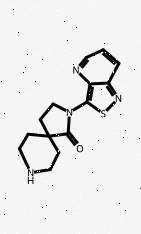 O=C1N(c2snc3cccnc23)CCC12CCNCC2